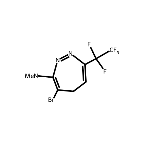 CNC1=C(Br)CC=C(C(F)(F)C(F)(F)F)N=N1